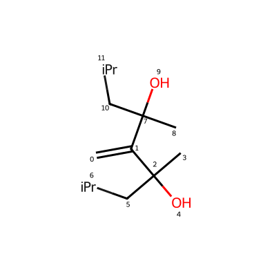 C=C(C(C)(O)CC(C)C)C(C)(O)CC(C)C